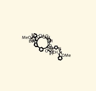 CCn1c(-c2cccnc2[C@H](C)OC)c2c3cc(ccc31)-c1cccc(c1)C[C@H](NC(=O)C(C(C)C)N(C)C(=O)[C@H]1CC[C@H](N=C=NCc3ccccc3OC)C1)C(=O)N1CCC[C@H](N1)C(=O)OCC(C)(C)C2